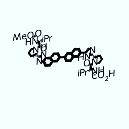 COC(=O)N[C@H](C(=O)N1CCC[C@H]1c1nc2ccc3cc(-c4ccc5cc(-c6cnc([C@@H]7CCCN7C(=O)[C@@H](NC(=O)O)C(C)C)[nH]6)ccc5c4)ccc3c2[nH]1)C(C)C